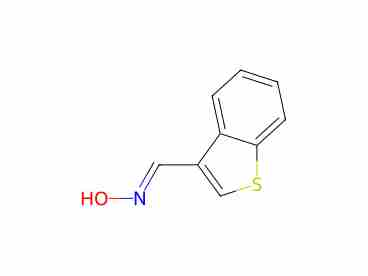 O/N=C/c1csc2ccccc12